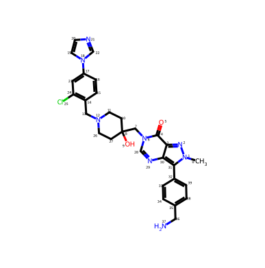 Cn1nc2c(=O)n(CC3(O)CCN(Cc4ccc(-n5ccnc5)cc4Cl)CC3)cnc2c1-c1ccc(CN)cc1